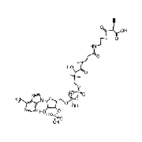 C#CC(C(=O)O)C(=O)SCCNC(=O)CCNC(=O)[C@H](O)C(C)(C)COP(=O)(O)OP(=O)(O)OC[C@H]1O[C@@H](n2cnc3c(N)ncnc32)[C@H](O)[C@@H]1OP(=O)(O)O